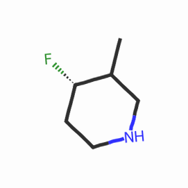 CC1CNCC[C@@H]1F